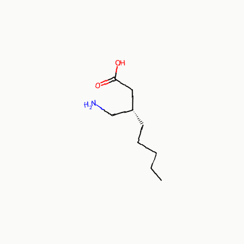 CCCCC[C@H](CN)CC(=O)O